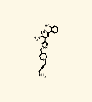 NCC#CCN1CCC(Cn2cc(-c3cc(-c4ccccc4O)nnc3N)cn2)CC1